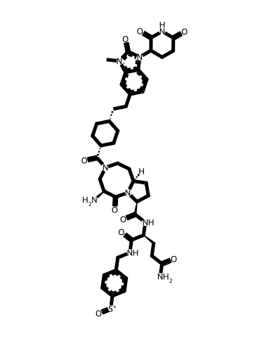 Cn1c(=O)n(C2CCC(=O)NC2=O)c2ccc(CC[C@H]3CC[C@@H](C(=O)N4CC[C@H]5CC[C@@H](C(=O)N[C@@H](CCC(N)=O)C(=O)NCc6ccc([S+]=O)cc6)N5C(=O)[C@@H](N)C4)CC3)cc21